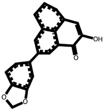 O=C1C(O)=Cc2cccc3cc(-c4ccc5c(c4)OCO5)cc1c23